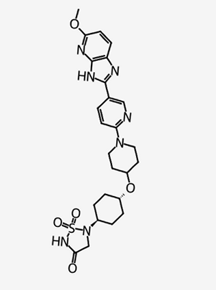 COc1ccc2nc(-c3ccc(N4CCC(O[C@H]5CC[C@H](N6CC(=O)NS6(=O)=O)CC5)CC4)nc3)[nH]c2n1